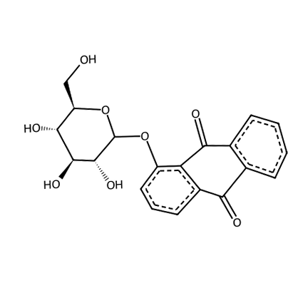 O=C1c2ccccc2C(=O)c2c(OC3O[C@H](CO)[C@@H](O)[C@H](O)[C@H]3O)cccc21